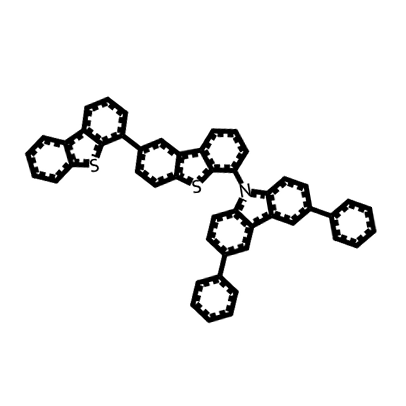 c1ccc(-c2ccc3c(c2)c2cc(-c4ccccc4)ccc2n3-c2cccc3c2sc2ccc(-c4cccc5c4sc4ccccc45)cc23)cc1